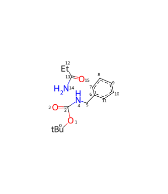 CC(C)(C)OC(=O)NCc1ccccc1.CCC(N)=O